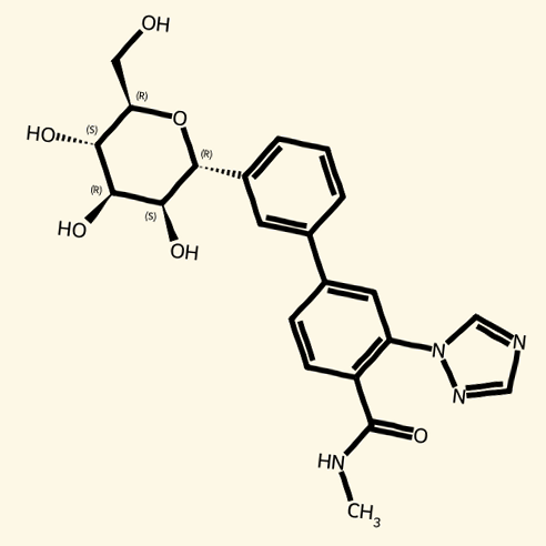 CNC(=O)c1ccc(-c2cccc([C@H]3O[C@H](CO)[C@@H](O)[C@H](O)[C@@H]3O)c2)cc1-n1cncn1